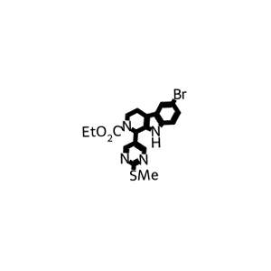 CCOC(=O)N1CCc2c([nH]c3ccc(Br)cc23)C1c1cnc(SC)nc1